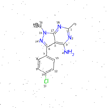 Cc1nc(N)c2c(-c3ccc(Cl)cc3)nn(C(C)(C)C)c2n1